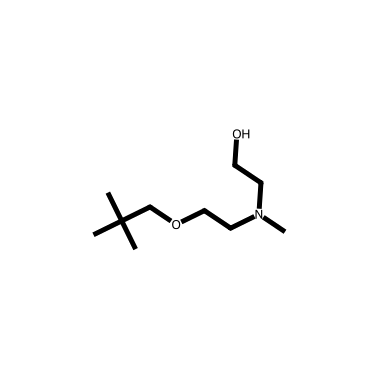 CN(CCO)CCOCC(C)(C)C